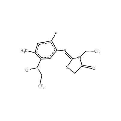 Cc1cc(F)c(/N=C2\SCC(=O)N2CC(F)(F)F)cc1[S+]([O-])CC(F)(F)F